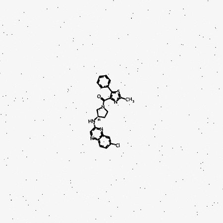 Cc1nc(C(=O)N2CC[C@@H](Nc3cnc4ccc(Cl)cc4n3)C2)c(-c2ccccc2)s1